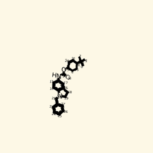 CC(C)(C)C1CCC(OC(=O)Nc2ccc3c(c2)CCN3Cc2ccccc2)CC1